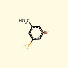 Br.O=C(O)c1cccc(P)c1